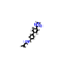 CC(C)CCNCc1ccc(-c2ccc(-c3ncn[nH]3)cc2)cc1